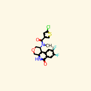 CN(C(=O)c1csc(Cl)c1)[C@@H]1COCc2[nH]c(=O)c3cc(F)c(F)cc3c21